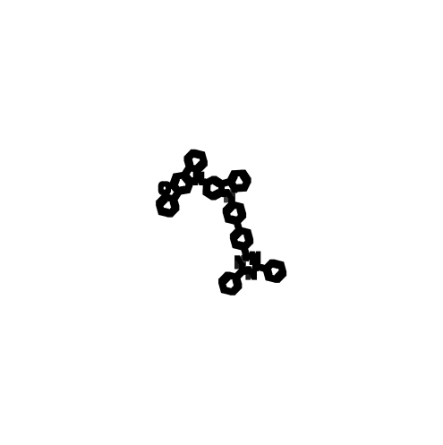 C1=CC(c2nc(-c3ccccc3)nc(-c3ccc(-c4ccc(-n5c6ccccc6c6cc(-n7c8ccccc8c8cc9oc%10ccccc%10c9cc87)ccc65)cc4)cc3)n2)=CCC1